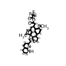 COc1ccc(C2CCOCC2)cc1C(CC(=O)OC(=O)C(F)(F)F)Cc1cc(OCCc2ccc3c(n2)NCCC3)n(C)n1